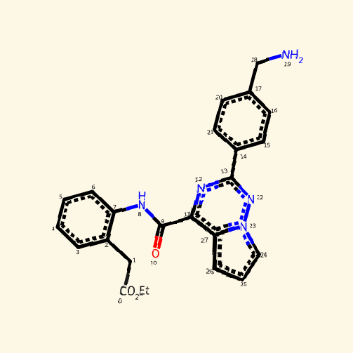 CCOC(=O)Cc1ccccc1NC(=O)c1nc(-c2ccc(CN)cc2)nn2cccc12